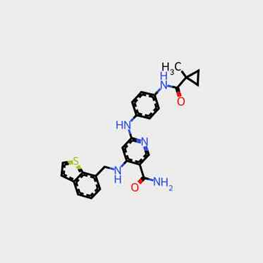 CC1(C(=O)Nc2ccc(Nc3cc(NCc4cccc5ccsc45)c(C(N)=O)cn3)cc2)CC1